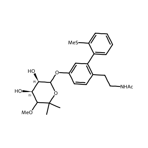 COC1[C@@H](O)[C@@H](O)C(Oc2ccc(CCNC(C)=O)c(-c3ccccc3SC)c2)OC1(C)C